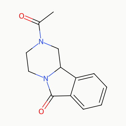 CC(=O)N1CCN2C(=O)c3ccccc3C2C1